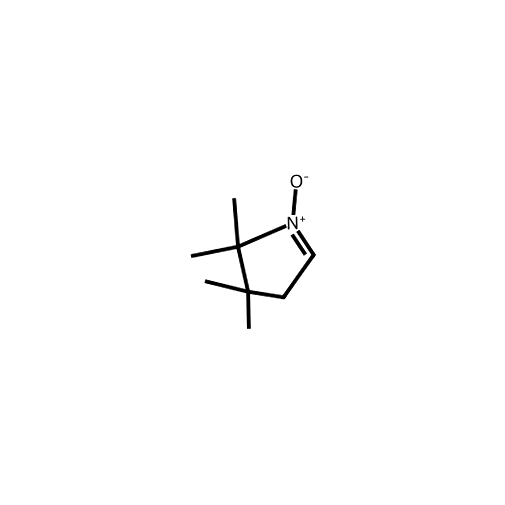 CC1(C)CC=[N+]([O-])C1(C)C